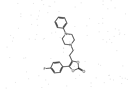 O=c1oc(CCN2CCN(c3ccccc3)CC2)c(-c2ccc(F)cc2)o1